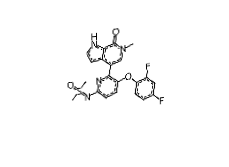 Cn1cc(-c2nc(N=S(C)(C)=O)ccc2Oc2ccc(F)cc2F)c2cc[nH]c2c1=O